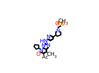 CC(=O)c1c(C)c2cnc(Nc3ccc(C4CCCN(CCS(C)(=O)=O)C4)cn3)nc2n(C2CCCC2)c1=O